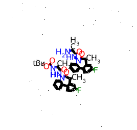 CC1C(=O)N(NC(=O)[C@H](C)N)c2ccccc2-c2ccc(F)cc21.CC1C(=O)N(NC(=O)[C@H](C)NC(=O)OC(C)(C)C)c2ccccc2-c2ccc(F)cc21